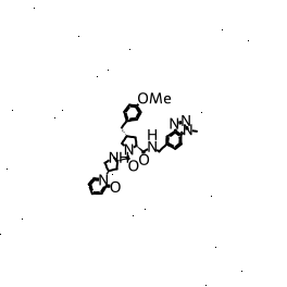 COc1ccc(C[C@@H]2C[C@@H](C(=O)NCc3ccc4c(c3)nnn4C)N(C(=O)[C@H]3C[C@@H](n4ccccc4=O)CN3)C2)cc1